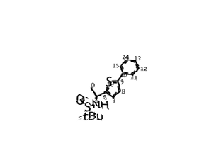 CC(N[S+]([O-])C(C)(C)C)c1ccc(-c2ccccc2)s1